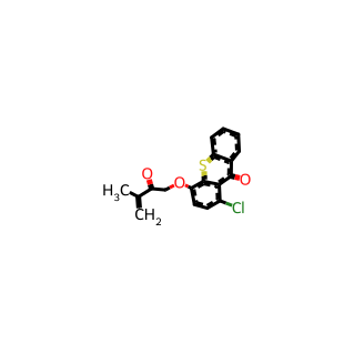 C=C(C)C(=O)COc1ccc(Cl)c2c(=O)c3ccccc3sc12